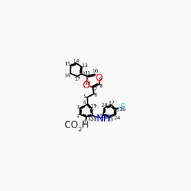 O=C(O)c1ccc(CCC2=COC=C(C3=CC=CCC3)O2)cc1Nc1ccc(F)cc1